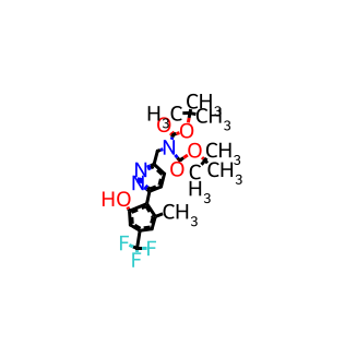 Cc1cc(C(F)(F)F)cc(O)c1-c1ccc(CN(C(=O)OC(C)(C)C)C(=O)OC(C)(C)C)nn1